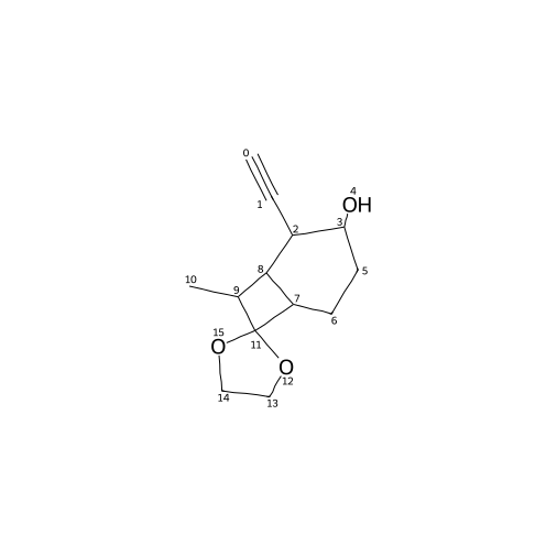 C#CC1C(O)CCC2C1C(C)C21OCCO1